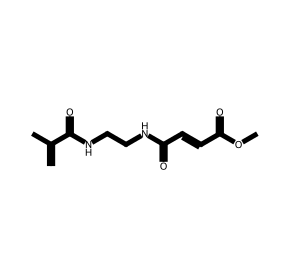 C=C(C)C(=O)NCCNC(=O)/C=C/C(=O)OC